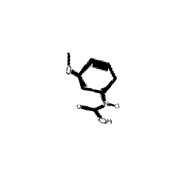 COc1cccc(N(Cl)C(=O)O)c1